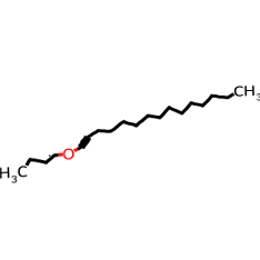 CCC[CH]OC#CCCCCCCCCCCCCC